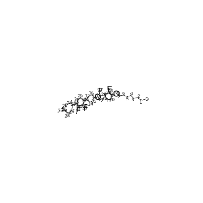 CCCCCCCCOc1ccc(COC2CCC(c3ccc(C4CCC(C)CC4)c(F)c3F)CC2)c(F)c1F